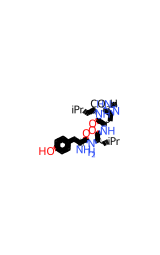 CC(C)C[C@H](NC(=O)[C@H](Cc1c[nH]cn1)NC(=O)[C@H](CC(C)C)NC(=O)[C@@H](N)Cc1ccc(O)cc1)C(=O)O